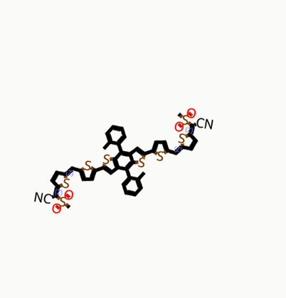 Cc1ccccc1-c1c2cc(-c3ccc(/C=c4/cc/c(=C(\C#N)S(C)(=O)=O)s4)s3)sc2c(-c2ccccc2C)c2cc(-c3ccc(/C=c4/cc/c(=C(\C#N)S(C)(=O)=O)s4)s3)sc12